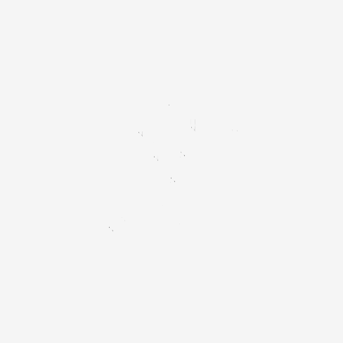 COCCNc1nc(Nc2ccc(S(=O)(=O)N3CCOCC3)cc2OC)nc2[nH]cc(C(F)(F)F)c12